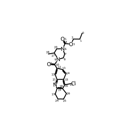 CCCOC(=O)N1CCN(C(=O)c2ccc3c(Cl)c4c(nc3c2)CCCC4)C(C)C1